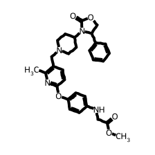 COC(=O)CNc1ccc(Oc2ccc(CN3CCC(N4C(=O)OCC4c4ccccc4)CC3)c(C)n2)cc1